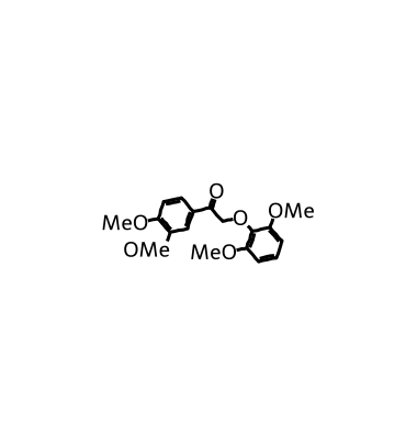 COc1ccc(C(=O)COc2c(OC)cccc2OC)cc1OC